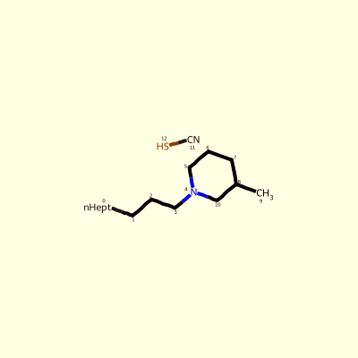 CCCCCCCCCCN1CCCC(C)C1.N#CS